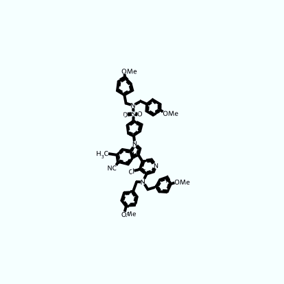 COc1ccc(CN(Cc2ccc(OC)cc2)c2cncc(-c3cn(-c4ccc(S(=O)(=O)N(Cc5ccc(OC)cc5)Cc5ccc(OC)cc5)cc4)c4cc(C)c(C#N)cc34)c2Cl)cc1